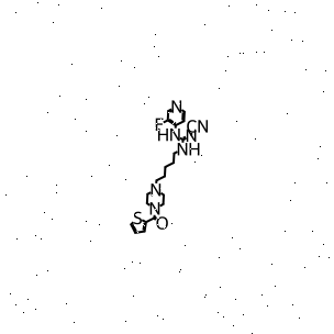 N#CN=C(NCCCCCN1CCN(C(=O)c2cccs2)CC1)Nc1ccncc1F